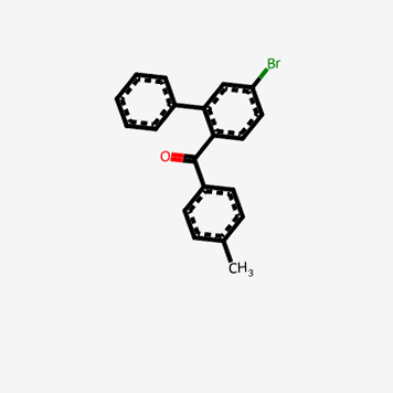 Cc1ccc(C(=O)c2ccc(Br)cc2-c2ccccc2)cc1